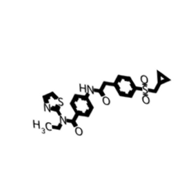 CCN(C(=O)c1ccc(NC(=O)Cc2ccc(S(=O)(=O)CC3CC3)cc2)cc1)c1nccs1